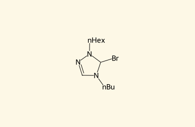 CCCCCCN1N=CN(CCCC)C1Br